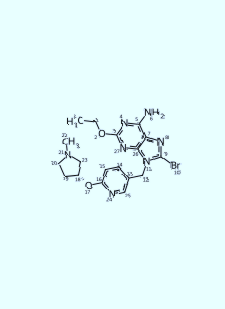 CCOc1nc(N)c2nc(Br)n(Cc3ccc(O[C@@H]4CCN(C)C4)nc3)c2n1